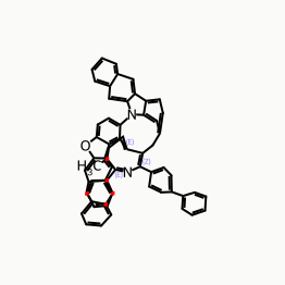 CC1C/C=C2/C(=C(c3ccc(-c4ccccc4)cc3)\N=C/1c1ccc3ccccc3c1)Cc1ccc3c4cc5ccccc5cc4n(c3c1)-c1ccc3oc4cc5ccccc5cc4c3c12